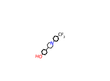 Oc1ccc(C2CCN(c3ccc(C(F)(F)F)cc3)CC2)cc1